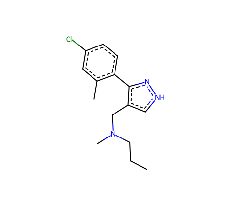 CCCN(C)Cc1c[nH]nc1-c1ccc(Cl)cc1C